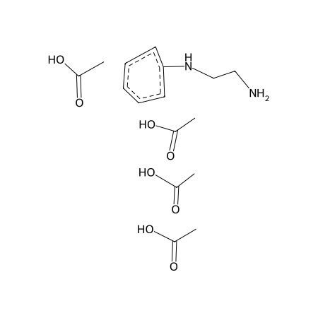 CC(=O)O.CC(=O)O.CC(=O)O.CC(=O)O.NCCNc1ccccc1